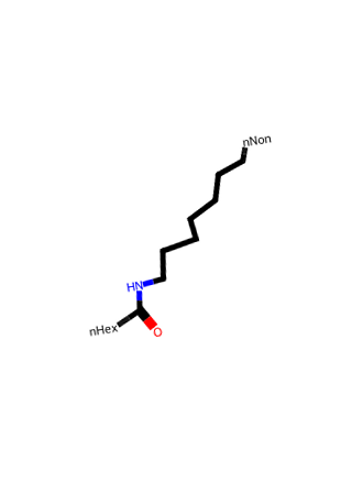 CCCCCCCCCCCCCCCCNC(=O)CCCCCC